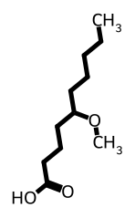 CCCCCC(CCCC(=O)O)OC